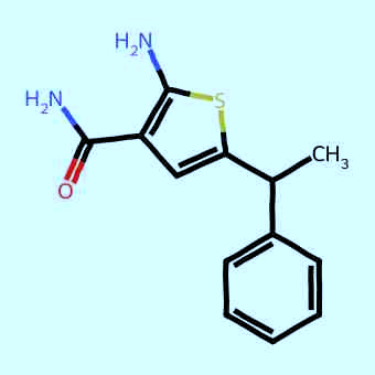 CC(c1ccccc1)c1cc(C(N)=O)c(N)s1